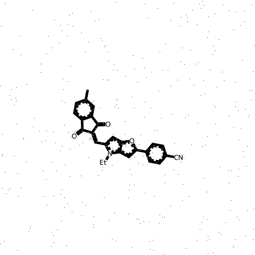 CCn1c(/C=C2/C(=O)c3ccc(C)cc3C2=O)cc2oc(-c3ccc(C#N)cc3)cc21